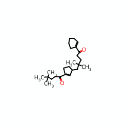 CC(C)(C)CCC(=O)C1=CC(CC(C)(C)CCC(=O)C2=CCCCC2)CC1